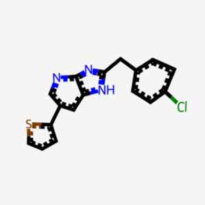 Clc1ccc(Cc2nc3ncc(-c4cccs4)cc3[nH]2)cc1